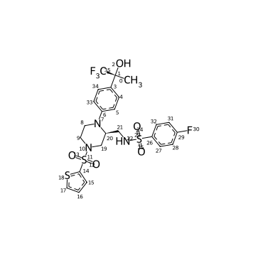 C[C@@](O)(c1ccc(N2CCN(S(=O)(=O)c3cccs3)C[C@@H]2CNS(=O)(=O)c2ccc(F)cc2)cc1)C(F)(F)F